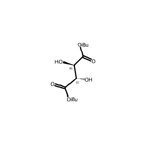 CC(C)COC(=O)[C@@H](O)[C@@H](O)C(=O)OCC(C)C